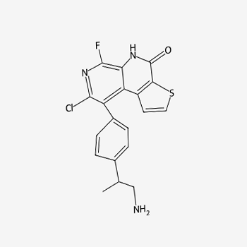 CC(CN)c1ccc(-c2c(Cl)nc(F)c3[nH]c(=O)c4sccc4c23)cc1